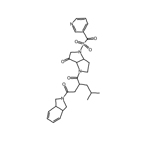 CC(C)CC(CC(=O)N1CC2C=CC=CC2C1)C(=O)N1CCC2C1C(=O)CN2S(=O)(=O)C(=O)c1cccnc1